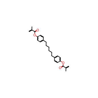 C=C(C)C(=O)Oc1ccc(CCCCCCc2ccc(OC(=O)C(=C)C)cc2)cc1